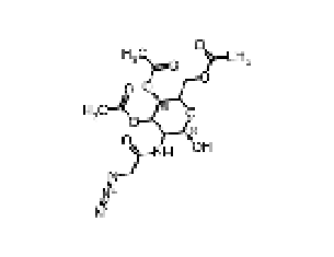 CC(=O)OCC1O[C@@H](O)C(NC(=O)CN=[N+]=[N-])C(OC(C)=O)[C@H]1OC(C)=O